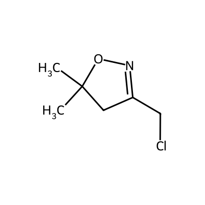 CC1(C)CC(CCl)=NO1